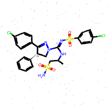 CC(CS(N)(=O)=O)N/C(=N\S(=O)(=O)c1ccc(Cl)cc1)N1C[C@H](c2ccccc2)C(c2ccc(Cl)cc2)=N1